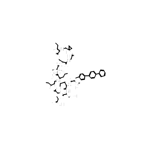 CC[C@H](C)[C@H](NC(=O)[C@@H](Cc1ccc(-c2ccc(-c3ccccc3)cc2)cc1)NC)C(=O)N[C@@H](CO)C(=O)N[C@H](CCC(N)=O)C(=O)N[C@@H](C(=O)N[C@H](C(=O)N[C@@H](CO)C(=O)N[C@H]1C(=O)N[C@@H](C)C(=O)NC2(CC2)C(=O)N[C@@H]([C@@H](C)CC)C(=O)O[C@H]1C)[C@@H](C)CC)[C@@H](C)CC